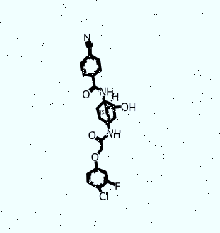 N#Cc1ccc(C(=O)NC23CCC(NC(=O)COc4ccc(Cl)c(F)c4)(CC2)C[C@@H]3O)cc1